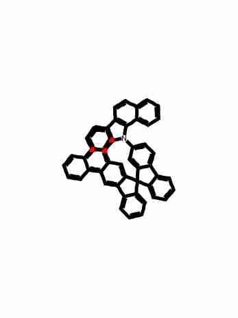 c1ccc2c(c1)-c1ccc(-n3c4ccccc4c4ccc5ccccc5c43)cc1C21c2ccccc2-c2cc3c4ccccc4c4ccccc4c3cc21